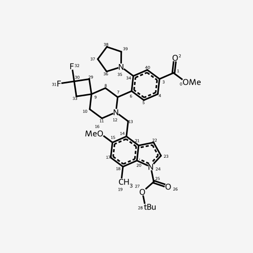 COC(=O)c1ccc(C2CC3(CCN2Cc2c(OC)cc(C)c4c2ccn4C(=O)OC(C)(C)C)CC(F)(F)C3)c(N2CCCC2)c1